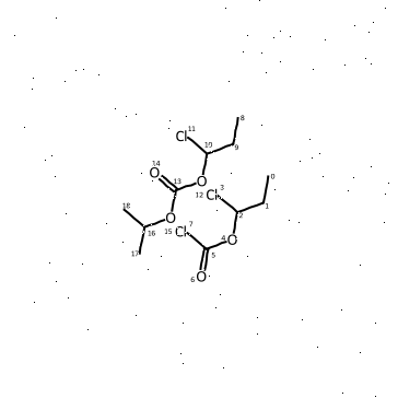 CCC(Cl)OC(=O)Cl.CCC(Cl)OC(=O)OC(C)C